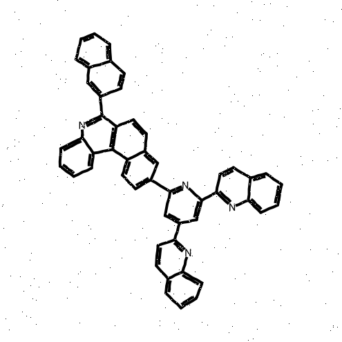 c1ccc2cc(-c3nc4ccccc4c4c3ccc3cc(-c5cc(-c6ccc7ccccc7n6)cc(-c6ccc7ccccc7n6)n5)ccc34)ccc2c1